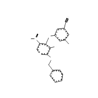 N#Cc1cc(Cl)cc(Oc2c([N+](=O)O)cnc(OCc3ccccc3)c2Br)c1